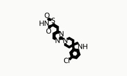 O=C1NC(=O)/C(=C\c2ccnc(N3CCC4(CC3)CNc3ccc(Cl)cc34)n2)S1